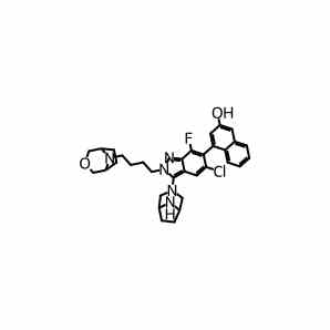 Oc1cc(-c2c(Cl)cc3c(N4CC5CCC(C4)N5)n(CCCCN4C5CCC4COC5)nc3c2F)c2ccccc2c1